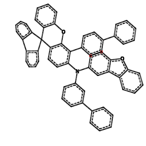 c1ccc(-c2ccc(-c3c(N(c4cccc(-c5ccccc5)c4)c4ccc5oc6ccccc6c5c4)ccc4c3Oc3ccccc3C43c4ccccc4-c4ccccc43)cc2)cc1